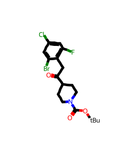 CC(C)(C)OC(=O)N1CCC(C(=O)Cc2c(F)cc(Cl)cc2Br)CC1